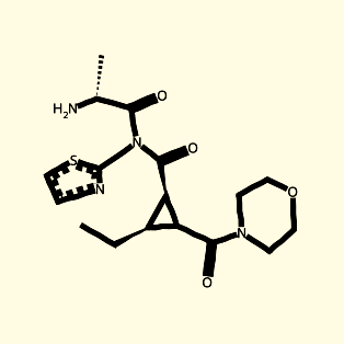 CC[C@@H]1C(C(=O)N2CCOCC2)[C@@H]1C(=O)N(C(=O)[C@@H](C)N)c1nccs1